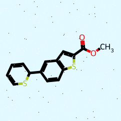 COC(=O)c1cc2cc(C3C=CC=CS3)ccc2s1